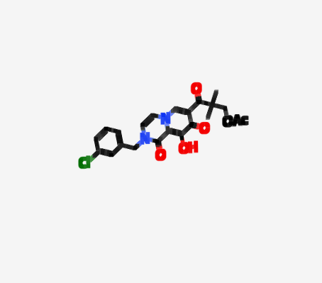 CC(=O)OCC(C)(C)C(=O)c1cn2ccn(Cc3cccc(Cl)c3)c(=O)c2c(O)c1=O